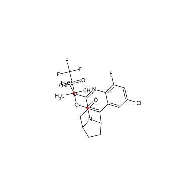 CC(C)(C)OC(=O)N1C2CCC1c1c(c(OS(=O)(=O)C(F)(F)F)nc3c(F)cc(Cl)cc13)C2